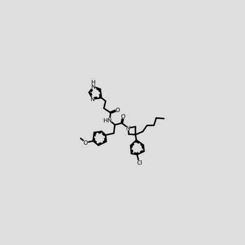 CCCCCC1(c2ccc(Cl)cc2)CN(C(=O)C(Cc2ccc(OC)cc2)NC(=O)CCc2c[nH]cn2)C1